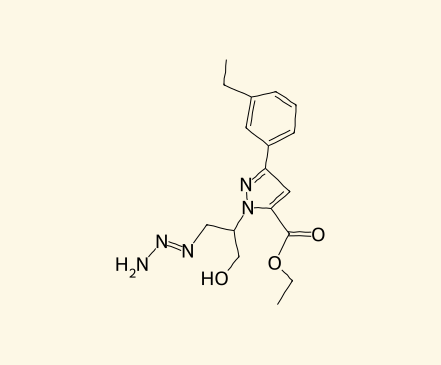 CCOC(=O)c1cc(-c2cccc(CC)c2)nn1C(CO)CN=NN